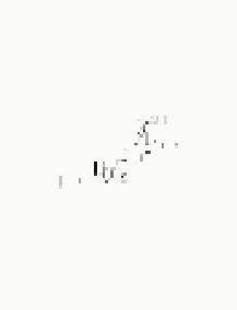 CC(C)(C)OC(=O)N1CC2C3CC[C@H](C(=O)Nc4cc(C(F)(F)F)ccc4C(F)(F)F)C3(C)CCC2[C@@]2(C)CCC(=O)C=C12